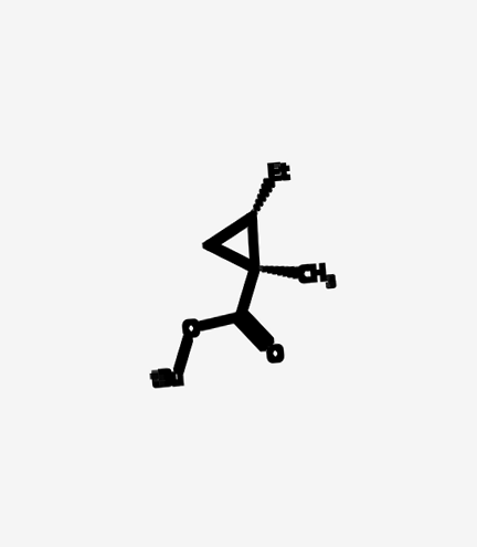 CC[C@H]1C[C@]1(C)C(=O)OC(C)(C)C